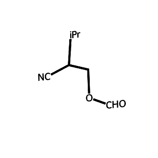 CC(C)C(C#N)COC=O